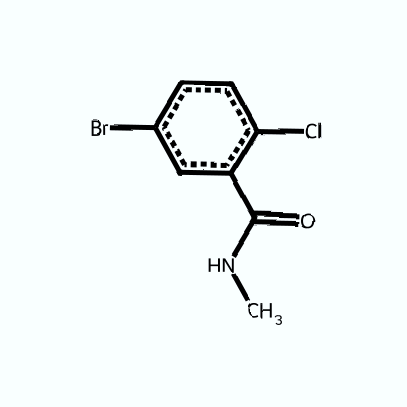 CNC(=O)c1cc(Br)ccc1Cl